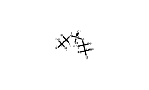 [2H]C([2H])(Br)C([2H])([2H])NP(=O)(O)NC([2H])([2H])C([2H])([2H])Br